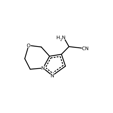 N#CC(N)c1cnn2c1COCC2